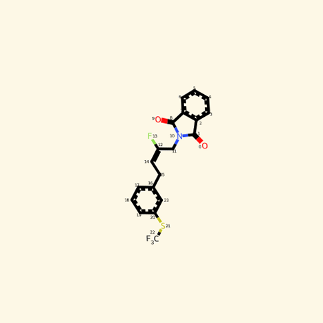 O=C1c2ccccc2C(=O)N1C/C(F)=C\Cc1cccc(SC(F)(F)F)c1